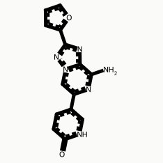 Nc1nc(-c2ccc(=O)[nH]c2)cn2nc(-c3ccco3)nc12